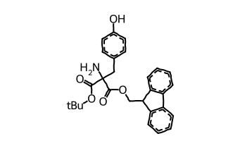 CC(C)(C)OC(=O)C(N)(Cc1ccc(O)cc1)C(=O)OCC1c2ccccc2-c2ccccc21